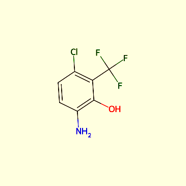 Nc1ccc(Cl)c(C(F)(F)F)c1O